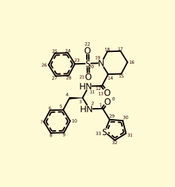 O=C(N[C@@H](Cc1ccccc1)NC(=O)C1CCCCN1S(=O)(=O)c1ccccc1)c1cccs1